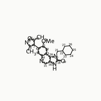 COc1cc2c(cc1-c1c(C)noc1C)ncc1[nH]c(=O)n(CC3CCCCC3)c12